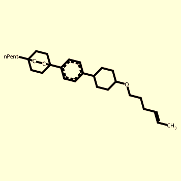 CC=CCCCOC1CCC(c2ccc(C34CCC(CCCCC)(CC3)CC4)cc2)CC1